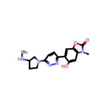 Cn1c(=O)oc2cc(-c3ccc(N4CCC(NC(C)(C)C)C4)nn3)c(O)cc21